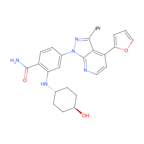 CC(C)c1nn(-c2ccc(C(N)=O)c(N[C@H]3CC[C@H](O)CC3)c2)c2nccc(-c3ccco3)c12